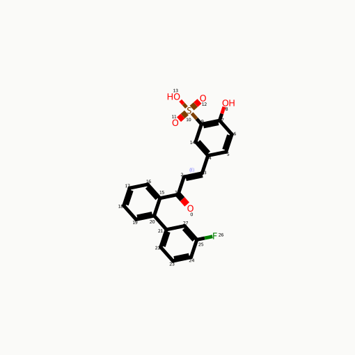 O=C(/C=C/c1ccc(O)c(S(=O)(=O)O)c1)c1ccccc1-c1cccc(F)c1